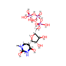 Cn1cc([C@@H]2O[C@H](COP(=O)(O)OP(=O)(O)OP(=O)(O)O)C(O)[C@@H]2O)c(=O)[nH]c1=O